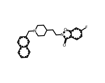 O=c1c2ccc(F)cc2on1CCC1CCN(Cc2ccc3ccccc3c2)CC1